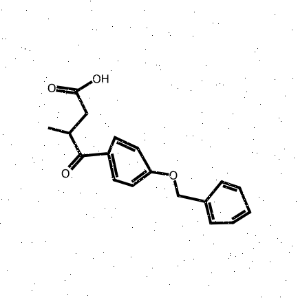 CC(CC(=O)O)C(=O)c1ccc(OCc2ccccc2)cc1